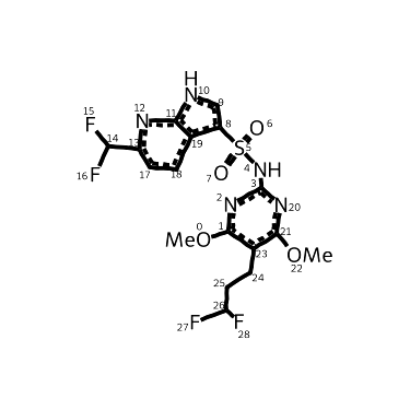 COc1nc(NS(=O)(=O)c2c[nH]c3nc(C(F)F)ccc23)nc(OC)c1CCC(F)F